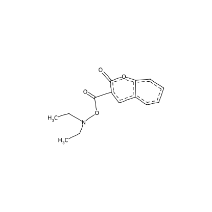 CCN(CC)OC(=O)c1cc2ccccc2oc1=O